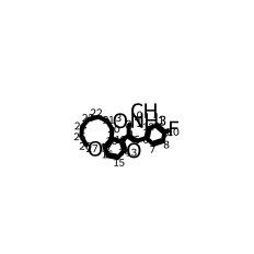 CNC(=O)c1c(-c2ccc(F)cc2)oc2ccc3c(c12)CCCCCCCO3